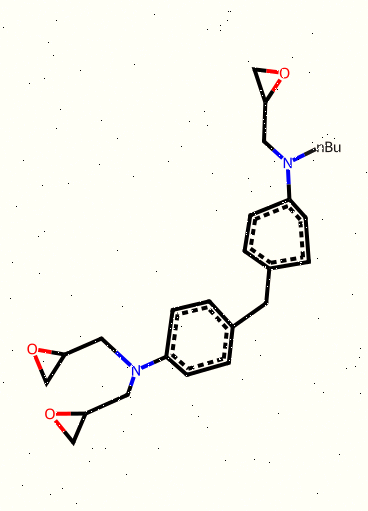 CCCCN(CC1CO1)c1ccc(Cc2ccc(N(CC3CO3)CC3CO3)cc2)cc1